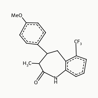 COc1ccc(C2Cc3c(cccc3C(F)(F)F)NC(=O)C2C)cc1